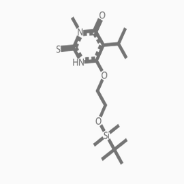 CC(C)c1c(OCCO[Si](C)(C)C(C)(C)C)[nH]c(=S)n(C)c1=O